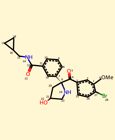 COc1cc(C(=O)[C@]2(c3cccc(C(=O)NCC4CC4)c3)CC(O)CN2)ccc1Br